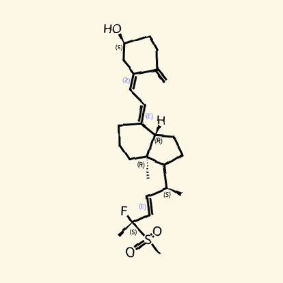 C=C1CC[C@H](O)C/C1=C/C=C1\CCC[C@]2(C)C([C@@H](C)/C=C/[C@@](C)(F)S(C)(=O)=O)CC[C@@H]12